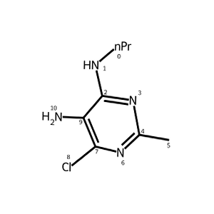 CCCNc1nc(C)nc(Cl)c1N